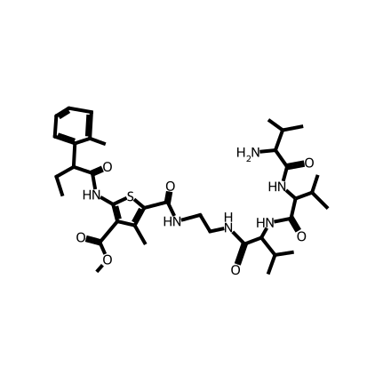 CCC(C(=O)Nc1sc(C(=O)NCCNC(=O)C(NC(=O)C(NC(=O)C(N)C(C)C)C(C)C)C(C)C)c(C)c1C(=O)OC)c1ccccc1C